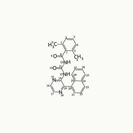 Cc1cccc(C)c1C(=O)NC(=O)Nc1nccnc1-c1cccc2ccccc12